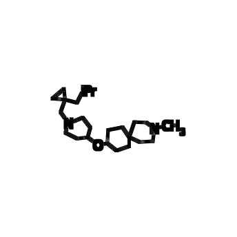 CC(C)CC1(CN2CCC(OC3CCC4(CC3)CCN(C)CC4)CC2)CC1